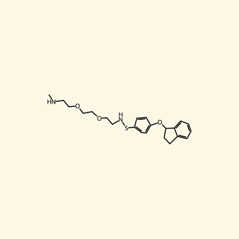 CNCCOCCOCCNSc1ccc(OC2CCc3ccccc32)cc1